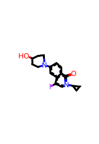 O=c1c2ccc(N3CCC(O)CC3)cc2c(I)cn1C1CC1